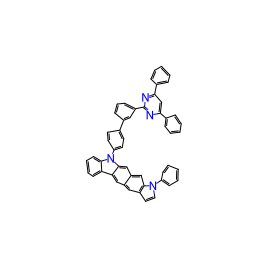 c1ccc(-c2cc(-c3ccccc3)nc(-c3cccc(-c4ccc(-n5c6ccccc6c6cc7cc8ccn(-c9ccccc9)c8cc7cc65)cc4)c3)n2)cc1